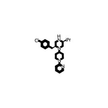 CC(C)[C@H]1CN(C2CCN(c3ccccn3)CC2)[C@@H](Cc2ccc(Cl)cc2)CN1